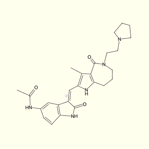 CC(=O)Nc1ccc2c(c1)/C(=C/c1[nH]c3c(c1C)C(=O)N(CCN1CCCC1)CCC3)C(=O)N2